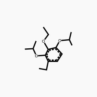 CCOc1c(OC(C)C)ccc(CC)c1OC(C)C